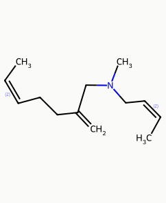 C=C(CC/C=C\C)CN(C)C/C=C\C